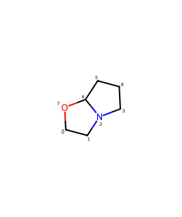 [CH]1CN2CCCC2O1